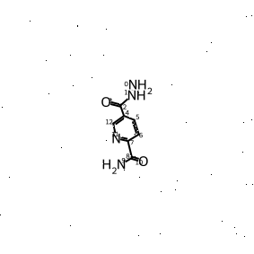 NNC(=O)c1c[c]c(C(N)=O)nc1